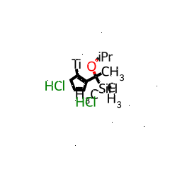 CC(C)OC(C)(C1=[C]([Ti])CC=C1)[SiH](C)C.Cl.Cl